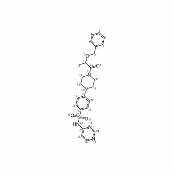 CC(OCc1ccccc1)C(=O)N1CCN(c2ccc(S(=O)(=O)Nc3ccncn3)cc2)CC1